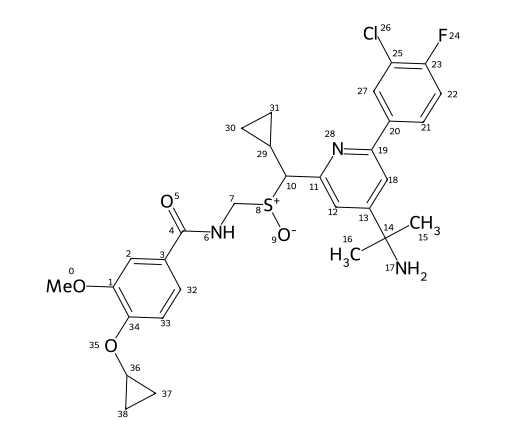 COc1cc(C(=O)NC[S+]([O-])C(c2cc(C(C)(C)N)cc(-c3ccc(F)c(Cl)c3)n2)C2CC2)ccc1OC1CC1